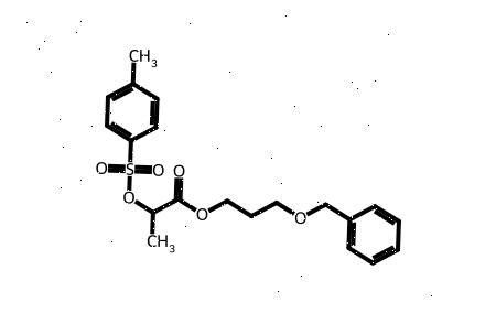 Cc1ccc(S(=O)(=O)OC(C)C(=O)OCCCOCc2ccccc2)cc1